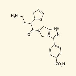 NCCC(C(=O)N1Cc2[nH]nc(-c3ccc(C(=O)O)cc3)c2C1)C1CC=CS1